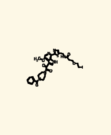 COc1cnc(-c2ncc(CNC(=O)CCOCCI)s2)c2[nH]cc(C(=O)C(=O)N3CCN(C(=O)c4ccccc4)CC3)c12